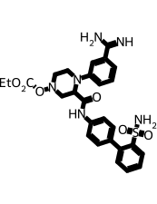 CCOC(=O)ON1CCN(c2cccc(C(=N)N)c2)C(C(=O)Nc2ccc(-c3ccccc3S(N)(=O)=O)cc2)C1